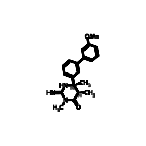 COc1cccc(-c2cccc([C@@]3(C)NC(=N)N(C)C(=O)[C@@H]3C)c2)c1